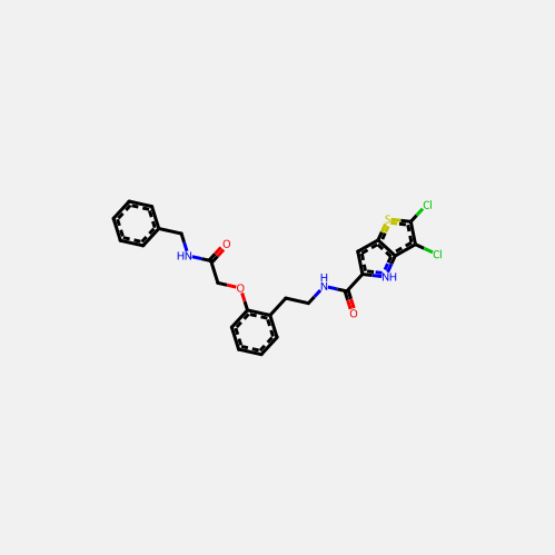 O=C(COc1ccccc1CCNC(=O)c1cc2sc(Cl)c(Cl)c2[nH]1)NCc1ccccc1